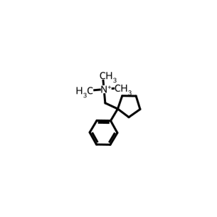 C[N+](C)(C)CC1(c2ccccc2)CCCC1